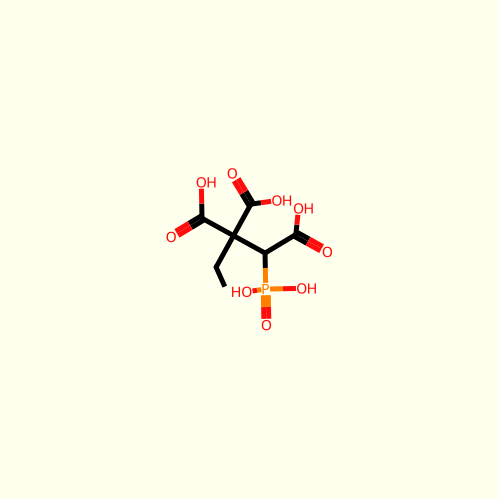 CCC(C(=O)O)(C(=O)O)C(C(=O)O)P(=O)(O)O